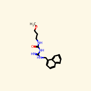 COCCCNC(=O)NC(=N)NCc1cccc2ccccc12